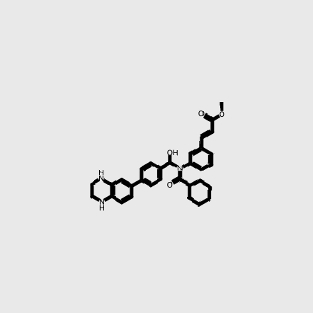 COC(=O)/C=C/c1cccc(N(C(=O)C2CCCCC2)C(O)c2ccc(-c3ccc4c(c3)NCCN4)cc2)c1